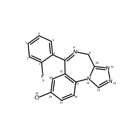 Fc1ccccc1C1=NCc2nncn2-c2ccc(Cl)cc21